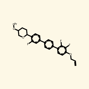 C=CCOc1ccc(-c2ccc(-c3ccc(C4CCC(OCCC)CO4)c(F)c3)cc2)c(F)c1F